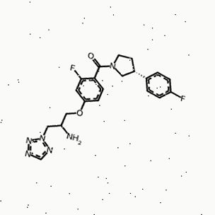 NC(COc1ccc(C(=O)N2CC[C@H](c3ccc(F)cc3)C2)c(F)c1)Cn1ncnn1